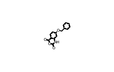 O=c1[nH]c2cc(OCc3ccccc3)ccc2c(=O)o1